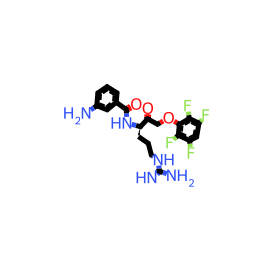 N=C(N)NCCC[C@H](NC(=O)c1cccc(N)c1)C(=O)COc1c(F)c(F)cc(F)c1F